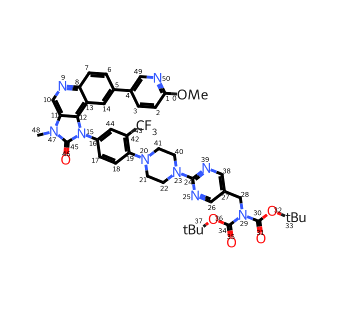 COc1ccc(-c2ccc3ncc4c(c3c2)n(-c2ccc(N3CCN(c5ncc(CN(C(=O)OC(C)(C)C)C(=O)OC(C)(C)C)cn5)CC3)c(C(F)(F)F)c2)c(=O)n4C)cn1